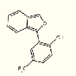 Oc1ccc(C(F)(F)F)cc1-c1occ2ccccc12